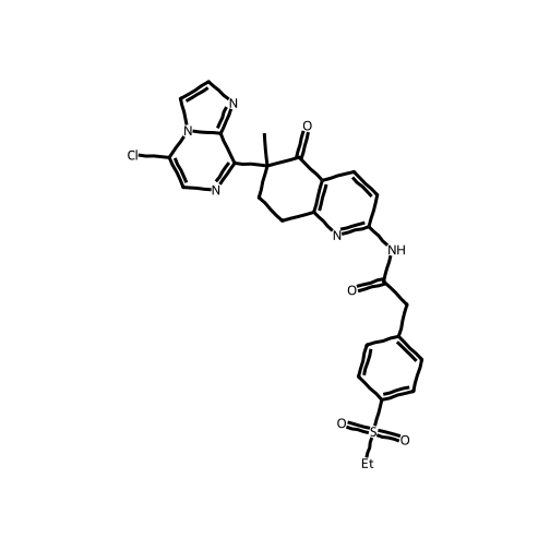 CCS(=O)(=O)c1ccc(CC(=O)Nc2ccc3c(n2)CCC(C)(c2ncc(Cl)n4ccnc24)C3=O)cc1